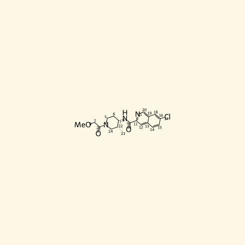 COCC(=O)N1CC[C@H](NC(=O)c2cc3ccc(Cl)cc3cn2)[C@H](C)C1